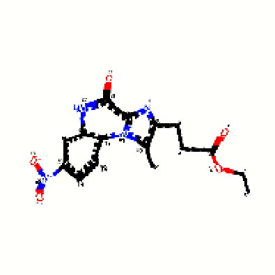 CCOC(=O)CCc1nc2c(=O)[nH]c3cc([N+](=O)[O-])ccc3n2c1C